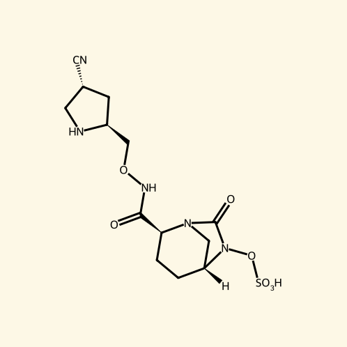 N#C[C@H]1CN[C@H](CONC(=O)[C@@H]2CC[C@@H]3CN2C(=O)N3OS(=O)(=O)O)C1